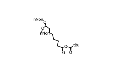 CCCCCCCCCOC(CCCCCCC(CC)OC(=O)C(C)(C)C)OCCCCCCCCC